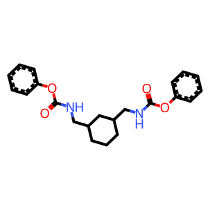 O=C(NCC1CCCC(CNC(=O)Oc2ccccc2)C1)Oc1ccccc1